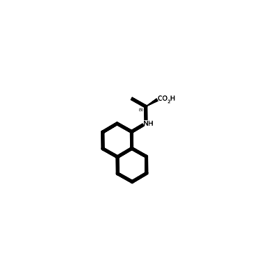 C[C@H](NC1CCCC2CCCCC21)C(=O)O